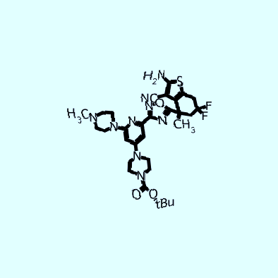 CN1CCN(c2cc(N3CCN(C(=O)OC(C)(C)C)CC3)cc(-c3noc(C4(C)CC(F)(F)Cc5sc(N)c(C#N)c54)n3)n2)CC1